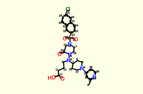 Cc1cc(N2CCC(N(CCCC(=O)O)N3CCN(S(=O)(=O)c4ccc5cc(Cl)ccc5c4)CC3=O)CC2)ccn1